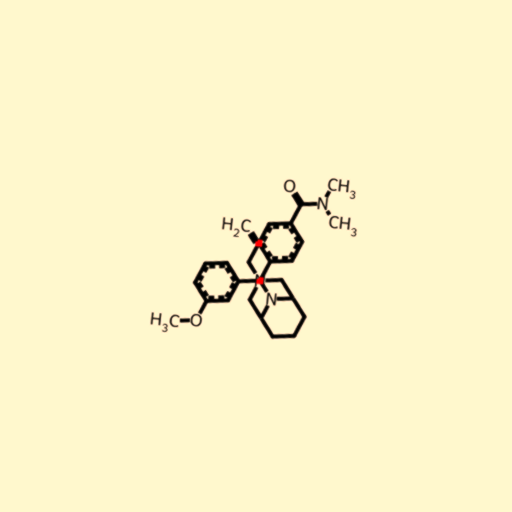 C=CCN1CC2CCCC(C1)N2C(c1ccc(C(=O)N(C)C)cc1)c1cccc(OC)c1